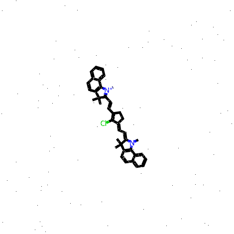 CN1/C(=C/C=C2\CCC(/C=C/C3=[N+](C)c4c(ccc5ccccc45)C3(C)C)=C2Cl)C(C)(C)c2ccc3ccccc3c21